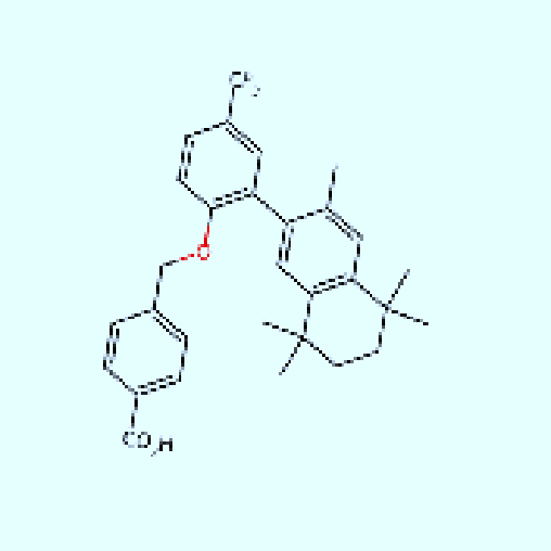 Cc1cc2c(cc1-c1cc(C(F)(F)F)ccc1OCc1ccc(C(=O)O)cc1)C(C)(C)CCC2(C)C